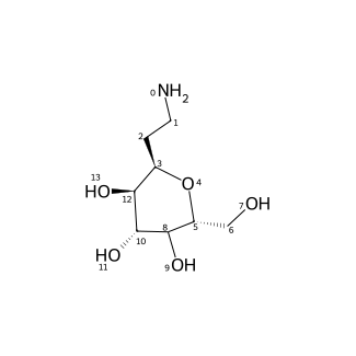 NCC[C@H]1O[C@H](CO)C(O)[C@H](O)[C@H]1O